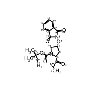 COC(=O)[C@@H]1C[C@@H](ON2C(=O)c3ccccc3C2=O)CN1C(=O)OC(C)(C)C